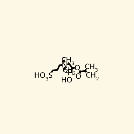 [2H]C(C[N+](C)(C)CCCS(=O)(=O)O)OC(=O)C(=C)C.[OH-]